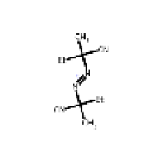 [C-]#[N+]C(C)(CC)/N=N/C(C)(C#N)CC